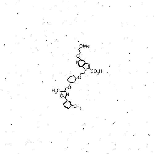 COCCOc1cc2cc(C(=O)O)n(CCO[C@@H]3CCC[C@H](OCc4nc(-c5cccc(C)c5)oc4C)C3)c2cn1